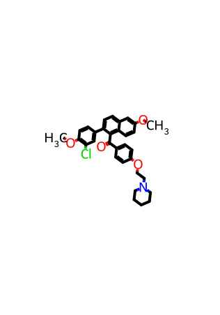 COc1ccc2c(C(=O)c3ccc(OCCN4CCCCC4)cc3)c(-c3ccc(OC)c(Cl)c3)ccc2c1